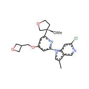 CO[C@]1(c2cc(OCC3COC3)cc(-n3cc(C)c4cnc(Cl)cc43)n2)CCOC1